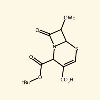 COC1C(=O)N2C(C(=O)OC(C)(C)C)C(C(=O)O)=CSC12